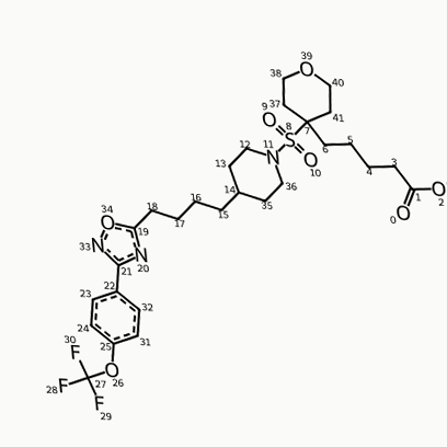 O=C(O)CCCCC1(S(=O)(=O)N2CCC(CCCCc3nc(-c4ccc(OC(F)(F)F)cc4)no3)CC2)CCOCC1